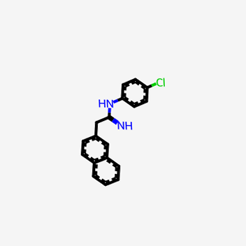 N=C(Cc1ccc2ccccc2c1)Nc1ccc(Cl)cc1